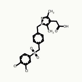 Cc1nn(Cc2ccc(CS(=O)(=O)c3ccc(Cl)c(Cl)c3)cc2)c(C)c1CC(=O)O